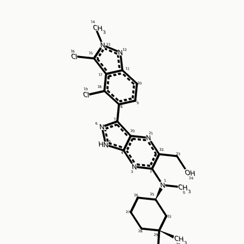 CN(c1nc2[nH]nc(-c3ccc4nn(C)c(Cl)c4c3Cl)c2nc1CO)[C@@H]1CCC[C@@](C)(N)C1